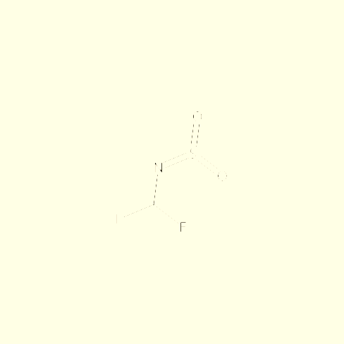 O=S(=O)=NC(F)F